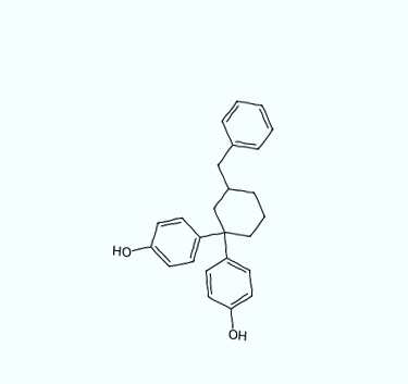 Oc1ccc(C2(c3ccc(O)cc3)CCCC(Cc3ccccc3)C2)cc1